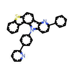 c1ccc(-c2ccc3c(n2)c2ccc4sc5ccccc5c4c2n3-c2ccc(-c3ccccn3)cc2)cc1